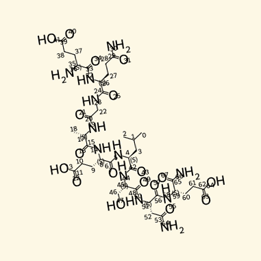 CC(C)C[C@H](NC(=O)[C@H](CCC(=O)O)NC(=O)[C@H](C)NC(=O)CNC(=O)[C@H](CCC(N)=O)NC(=O)[C@@H](N)CCC(=O)O)C(=O)N[C@@H](CO)C(=O)N[C@@H](CC(N)=O)C(=O)N[C@@H](CCC(=O)O)C(N)=O